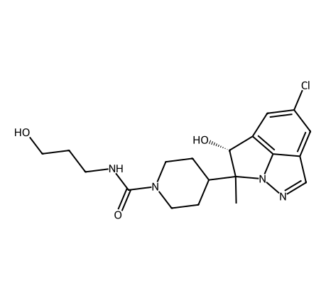 CC1(C2CCN(C(=O)NCCCO)CC2)[C@H](O)c2cc(Cl)cc3cnn1c23